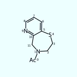 CC(=O)N1CCSc2cccnc2C1